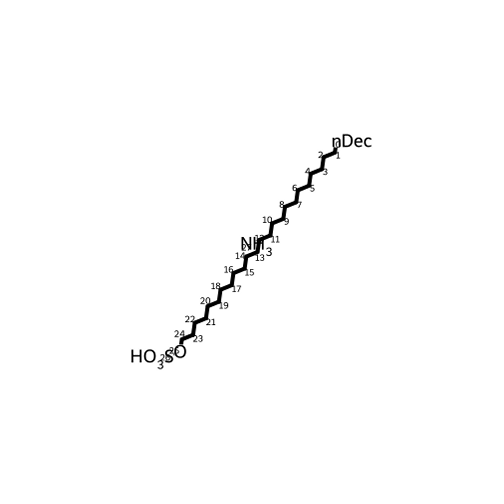 CCCCCCCCCCCCCCCCCCCCCCCCCCCCCCCCCCOS(=O)(=O)O.N